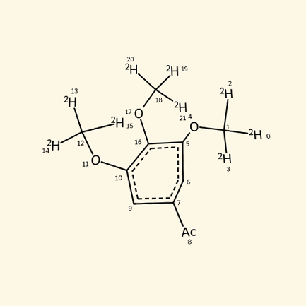 [2H]C([2H])([2H])Oc1cc(C(C)=O)cc(OC([2H])([2H])[2H])c1OC([2H])([2H])[2H]